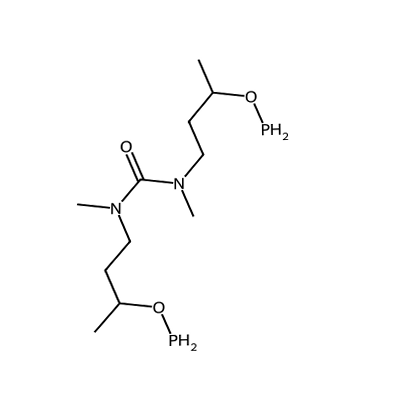 CC(CCN(C)C(=O)N(C)CCC(C)OP)OP